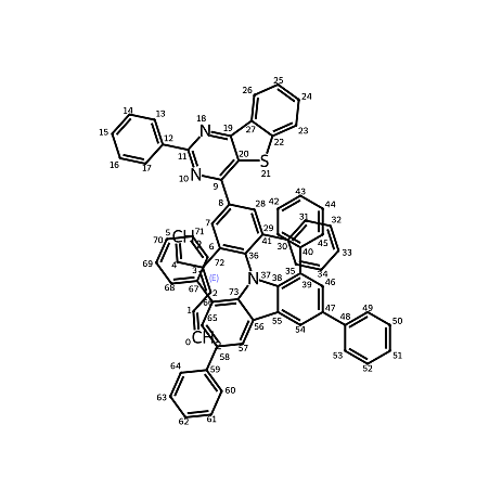 C=C/C=C(\C=C)c1cc(-c2nc(-c3ccccc3)nc3c2sc2ccccc23)cc(-c2ccccc2)c1-n1c2c(-c3ccccc3)cc(-c3ccccc3)cc2c2cc(-c3ccccc3)cc(-c3ccccc3)c21